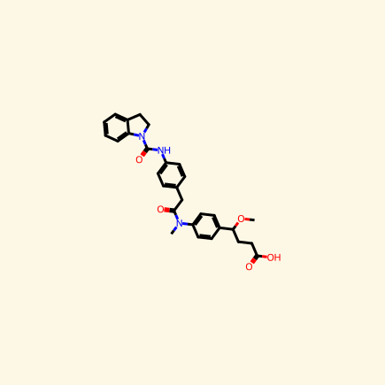 COC(CCC(=O)O)c1ccc(N(C)C(=O)Cc2ccc(NC(=O)N3CCc4ccccc43)cc2)cc1